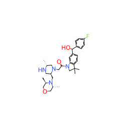 C[C@@H]1CN(CC(=O)N2CC(C)(C)c3ccc([C@@H](O)c4ccc(F)cc4)cc32)[C@@H](CN2[C@H](C)COC[C@H]2C)CN1